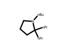 CCCCN1CCCC1(CCC)CCC